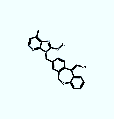 CCOc1nc2c(C)ccnc2n1Cc1ccc2c(c1)COc1ccccc1/C2=C\C#N